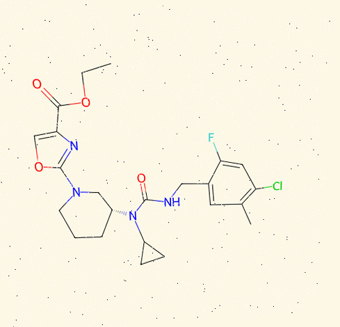 CCOC(=O)c1coc(N2CCC[C@@H](N(C(=O)NCc3cc(C)c(Cl)cc3F)C3CC3)C2)n1